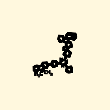 CC1(C)c2ccccc2-c2ccc(-c3ccc(-c4nc(-c5ccccc5)nc(-c5ccc6c(c5)sc5c7c(ccc56)C5(c6ccccc6-7)C6CC7CC(C6)CC5C7)n4)cc3)cc21